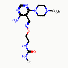 CCNC(=O)NCCON=Cc1c(N)ncnc1N1CCN(C(=O)O)CC1